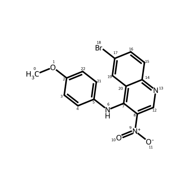 COc1ccc(Nc2c([N+](=O)[O-])cnc3ccc(Br)cc23)cc1